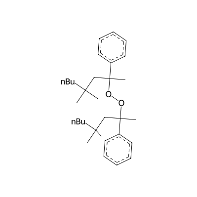 CCCCC(C)(C)CC(C)(OOC(C)(CC(C)(C)CCCC)c1ccccc1)c1ccccc1